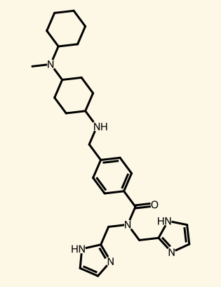 CN(C1CCCCC1)C1CCC(NCc2ccc(C(=O)N(Cc3ncc[nH]3)Cc3ncc[nH]3)cc2)CC1